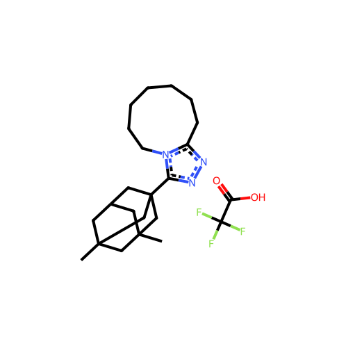 CC12CC3CC(C)(C1)CC(c1nnc4n1CCCCCCC4)(C3)C2.O=C(O)C(F)(F)F